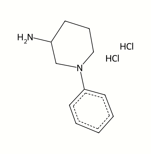 Cl.Cl.NC1CCCN(c2ccccc2)C1